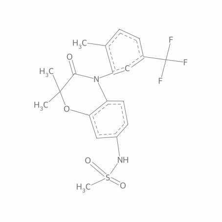 Cc1ccc(C(F)(F)F)cc1N1C(=O)C(C)(C)Oc2cc(NS(C)(=O)=O)ccc21